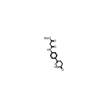 COC(=O)CC(=O)Nc1ccc(C2=NNC(=O)CC2)cc1